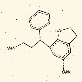 CNCCC(c1ccccc1)c1cc(OC)cc2c1NCC2